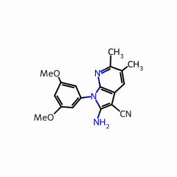 COc1cc(OC)cc(-n2c(N)c(C#N)c3cc(C)c(C)nc32)c1